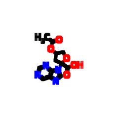 CC(=O)OC1COC(C(=O)O)(n2cnc3cncnc32)C1